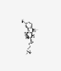 CN(C)CCCSc1nnc2c3cc(F)ccc3n(C)c2n1